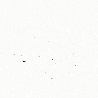 COc1cc2c(cc1OC)[C@H]1C[C@@H](OC(=O)CC(C)C)[C@H](CC(C)C)CN1CC2